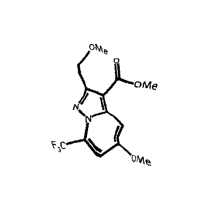 COCc1nn2c(C(F)(F)F)cc(OC)cc2c1C(=O)OC